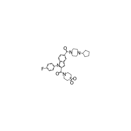 O=C(c1ccc2c(c1)cc(C(=O)N1CCS(=O)(=O)CC1)n2-c1ccc(F)cc1)N1CCN(C2CCCC2)CC1